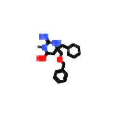 CN1C(=N)NC(COCc2ccccc2)(CC2CCCCC2)CC1O